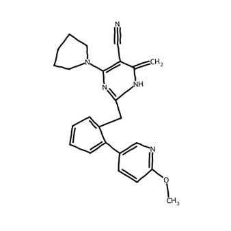 C=C1NC(Cc2ccccc2-c2ccc(OC)nc2)=NC(N2CCCCC2)=C1C#N